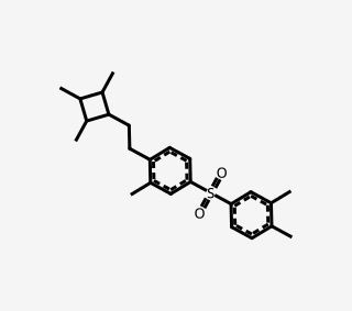 Cc1ccc(S(=O)(=O)c2ccc(CCC3C(C)C(C)C3C)c(C)c2)cc1C